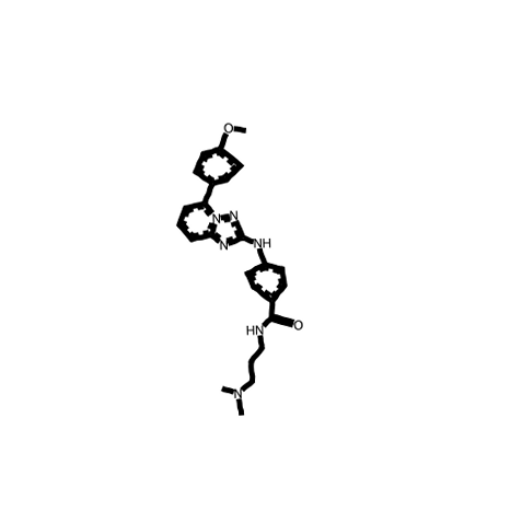 COc1ccc(-c2cccc3nc(Nc4ccc(C(=O)NCCCN(C)C)cc4)nn23)cc1